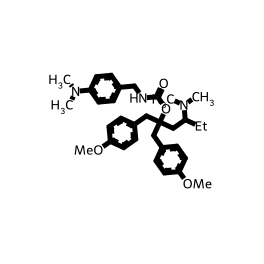 CCC(CC(Cc1ccc(OC)cc1)(Cc1ccc(OC)cc1)OC(=O)NCc1ccc(N(C)C)cc1)N(C)C